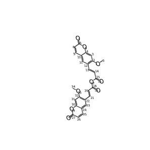 COc1cc2oc(=O)ccc2cc1/C=C/C(=O)OC(=O)/C=C/c1cc2ccc(=O)oc2cc1OC